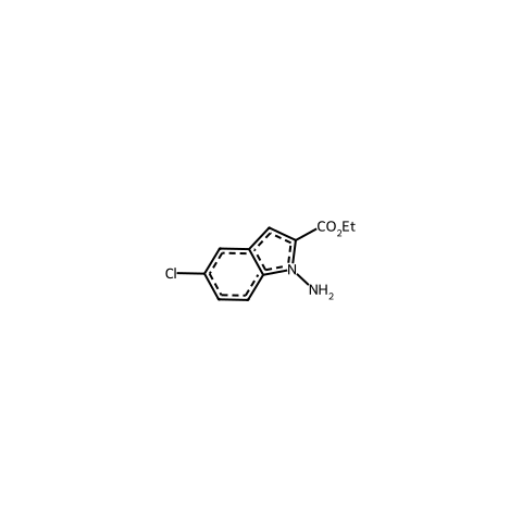 CCOC(=O)c1cc2cc(Cl)ccc2n1N